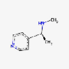 CN[C@@H](C)c1ccncc1